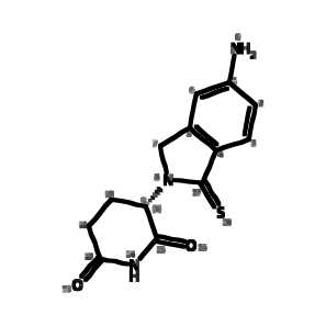 Nc1ccc2c(c1)CN([C@H]1CCC(=O)NC1=O)C2=S